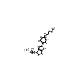 O=C(O)NC1CCc2sc(-c3ccc(OCCCCl)cc3)nc21